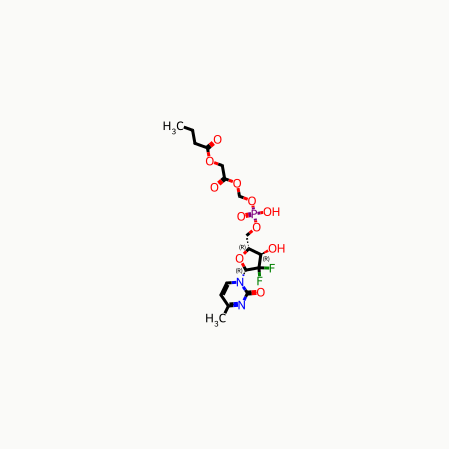 CCCC(=O)OCC(=O)OCOP(=O)(O)OC[C@H]1O[C@@H](n2ccc(C)nc2=O)C(F)(F)[C@@H]1O